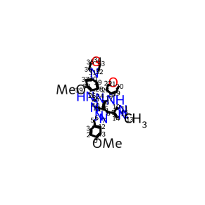 COc1ccc(Cn2nc(-c3cnn(C)c3)c3c(NC4CCOCC4)nc(Nc4ccc(N5CCOCC5)cc4OC)nc32)cc1